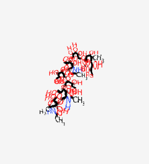 CC(=O)NC1[C@H](OC2C(O)[C@H](O)C(CO)O[C@@H]2O[C@@H]2C(O)[C@H](O[C@@H]3C(CO)O[C@@H](O[C@@H]4C(CO)O[C@@H](C)C(NC(C)=O)[C@H]4O)C(NC(C)=O)[C@H]3O)OC(CO)[C@H]2O)OC(CO)[C@@H](OC2OC(CO[C@]3(OC=O)C[C@@H](O)[C@@H](C)C(C(O)[C@H](O)CO)O3)[C@H](O)[C@H](O)[C@@H]2O)[C@@H]1O